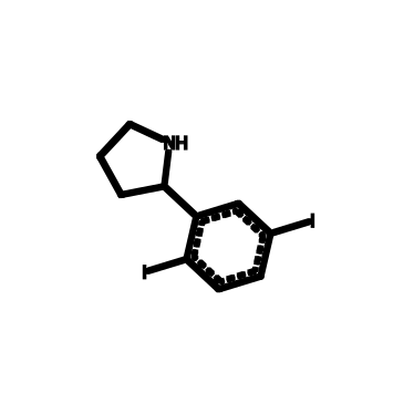 Ic1ccc(I)c(C2CCCN2)c1